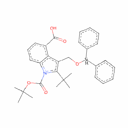 CC(C)(C)OC(=O)n1c(C(C)(C)C)c(CO[SiH](c2ccccc2)c2ccccc2)c2c(C(=O)O)cccc21